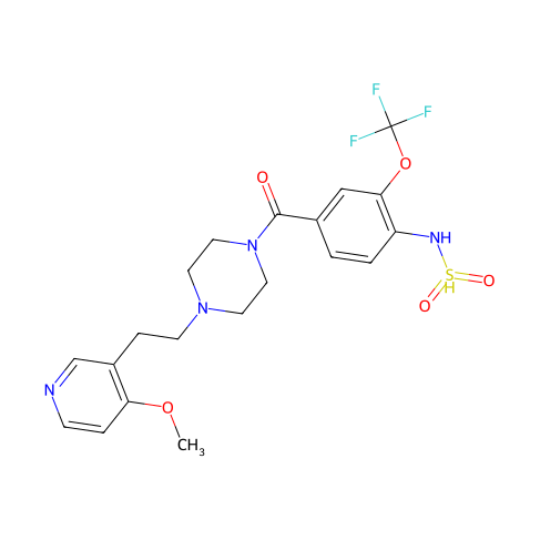 COc1ccncc1CCN1CCN(C(=O)c2ccc(N[SH](=O)=O)c(OC(F)(F)F)c2)CC1